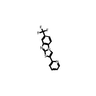 FC(F)(F)c1ccc2c(c1)nc1sc(-c3ccccn3)cn12